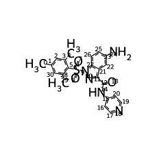 Cc1cc(C)c(S(=O)(=O)n2nc(C(=O)Nc3ccncc3)c3cc(N)ccc32)c(C)c1